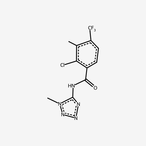 Cc1c(C(F)(F)F)ccc(C(=O)Nc2nnnn2C)c1Cl